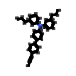 CC#Cc1ccc(-c2ccc(N(c3cccc(CCC)c3)c3cccc(CCC)c3)cc2)cc1